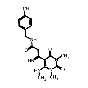 CNc1c(C(=N)CC(=O)NCc2ccc(C)cc2)c(=O)n(C)c(=O)n1C